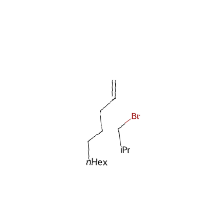 C=CCCCCCCCCC.CC(C)CBr